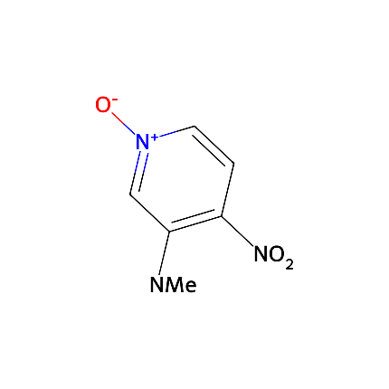 CNc1c[n+]([O-])ccc1[N+](=O)[O-]